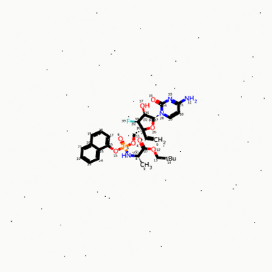 C=C[C@]1(COP(=O)(N[C@@H](C)C(=O)OCC(C)(C)C)Oc2cccc3ccccc23)O[C@@H](n2ccc(N)nc2=O)[C@H](O)[C@@H]1F